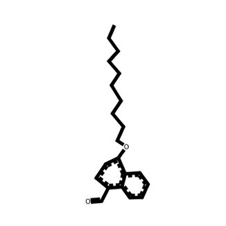 CCCCCCCCCCOc1ccc(C=O)c2ccccc12